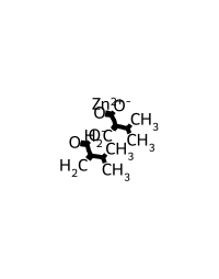 C=C(C(=O)[O-])C(C)C.C=C(C(=O)[O-])C(C)C.[Zn+2]